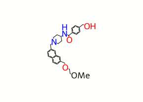 COCCOCc1ccc2ccc(CN3CCC(NC(=O)c4ccc(CO)cc4)CC3)cc2c1